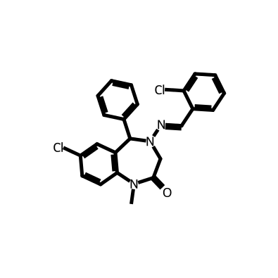 CN1C(=O)CN(/N=C/c2ccccc2Cl)C(c2ccccc2)c2cc(Cl)ccc21